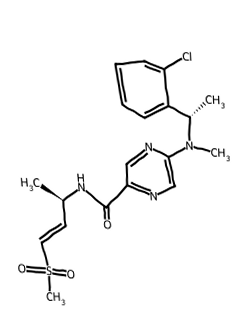 C[C@H](/C=C/S(C)(=O)=O)NC(=O)c1cnc(N(C)[C@@H](C)c2ccccc2Cl)cn1